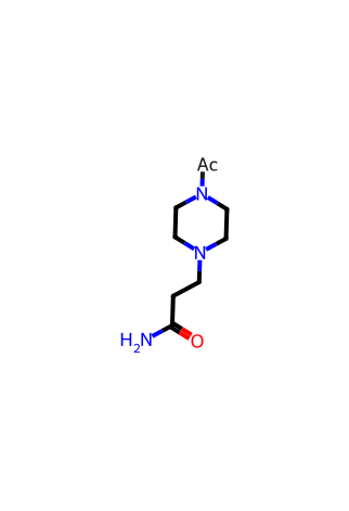 CC(=O)N1CCN(CCC(N)=O)CC1